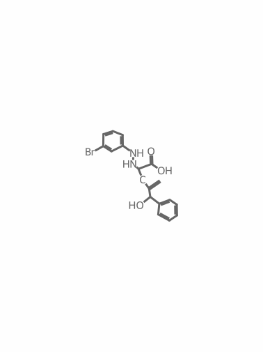 C=C(CC(NNc1cccc(Br)c1)C(=O)O)C(O)c1ccccc1